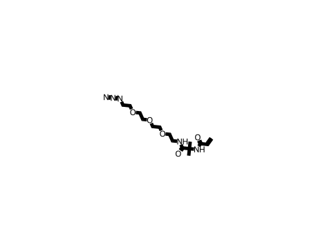 C=CC(=O)NC(C)(C)C(=O)NCCOCCOCCOCCN=[N+]=[N-]